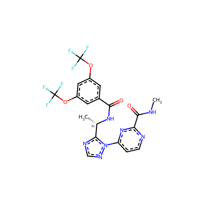 CNC(=O)c1nccc(-n2ncnc2[C@H](C)NC(=O)c2cc(OC(F)(F)F)cc(OC(F)(F)F)c2)n1